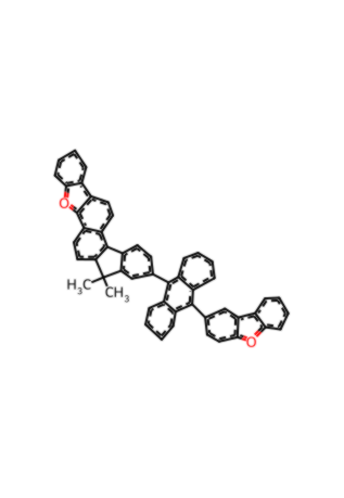 CC1(C)c2cc(-c3c4ccccc4c(-c4ccc5oc6ccccc6c5c4)c4ccccc34)ccc2-c2c1ccc1c2ccc2c3ccccc3oc12